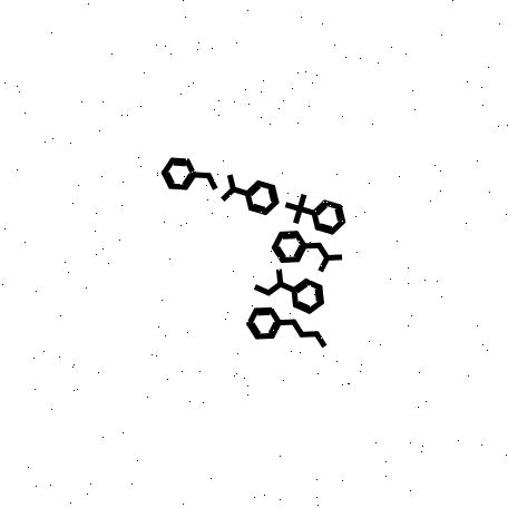 CC(C)(C)c1ccccc1.CC(C)Cc1ccccc1.CC(C)c1ccccc1.CCC(C)c1ccccc1.CCCCc1ccccc1.CCc1ccccc1